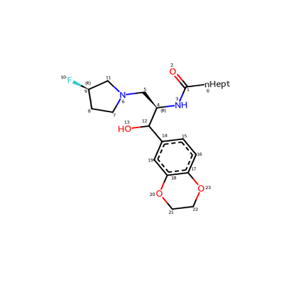 CCCCCCCC(=O)N[C@H](CN1CC[C@@H](F)C1)C(O)c1ccc2c(c1)OCCO2